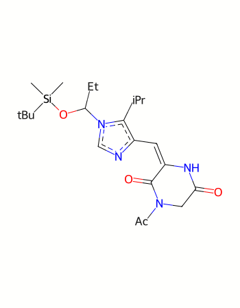 CCC(O[Si](C)(C)C(C)(C)C)n1cnc(C=C2NC(=O)CN(C(C)=O)C2=O)c1C(C)C